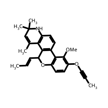 CC#COc1ccc2c(c1OC)-c1ccc3c(c1C(C=CC)O2)C(C)=CC(C)(C)N3